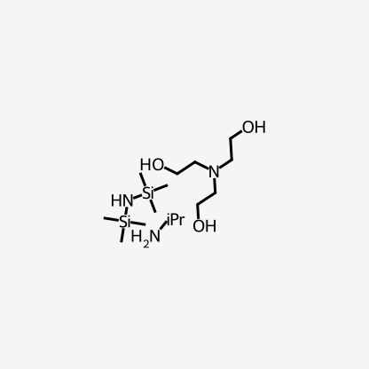 CC(C)N.C[Si](C)(C)N[Si](C)(C)C.OCCN(CCO)CCO